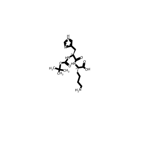 CC(C)(C)OC(=O)N[C@@H](Cc1c[nH]cn1)C(=O)N[C@@H](CCCCN)C(=O)O